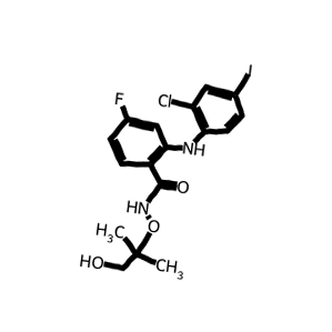 CC(C)(CO)ONC(=O)c1ccc(F)cc1Nc1ccc(I)cc1Cl